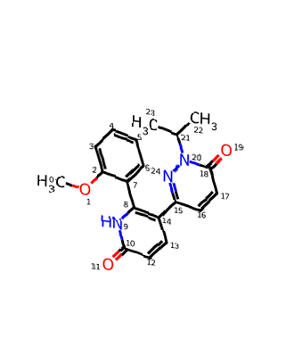 COc1ccccc1-c1[nH]c(=O)ccc1-c1ccc(=O)n(C(C)C)n1